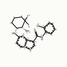 N[C@@H]1[C@H](Nc2ccn3ncc(C(=O)Nc4ccccc4Cl)c3n2)CCCC1(F)F